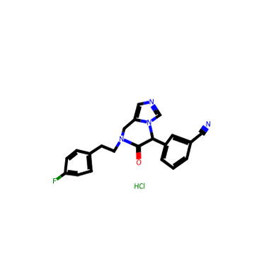 Cl.N#Cc1cccc(C2C(=O)N(CCc3ccc(F)cc3)Cc3cncn32)c1